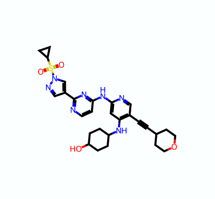 O=S(=O)(C1CC1)n1cc(-c2nccc(Nc3cc(NC4CCC(O)CC4)c(C#CC4CCOCC4)cn3)n2)cn1